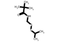 CC(C)SSCNC(=O)C(C)(C)C